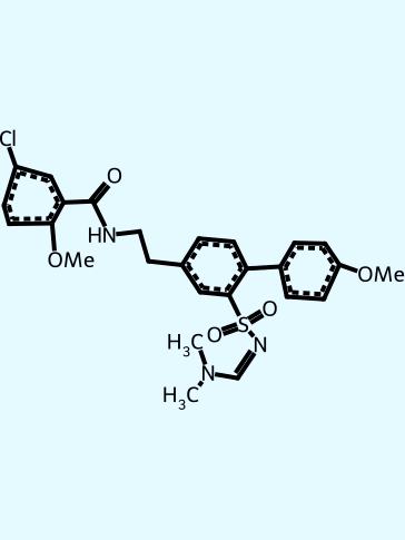 COc1ccc(-c2ccc(CCNC(=O)c3cc(Cl)ccc3OC)cc2S(=O)(=O)/N=C\N(C)C)cc1